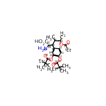 CCC(=O)OC(C)C(C)C(c1ccc(OC(=O)C(C)(C)CC)c(OC(=O)C(C)(C)CC)c1)[C@H](N)C(=O)O